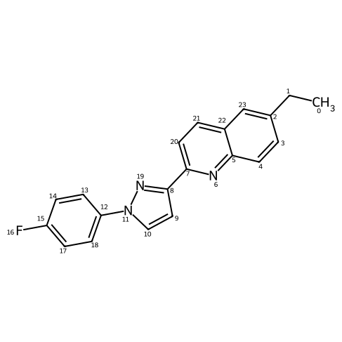 CCc1ccc2nc(-c3ccn(-c4ccc(F)cc4)n3)ccc2c1